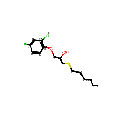 CCCCCCSCC(O)COc1ccc(Cl)cc1Cl